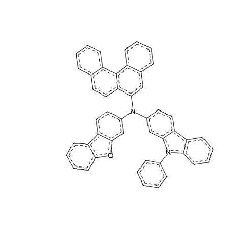 c1ccc(-n2c3ccccc3c3ccc(N(c4ccc5c(c4)oc4ccccc45)c4cc5ccccc5c5c4ccc4ccccc45)cc32)cc1